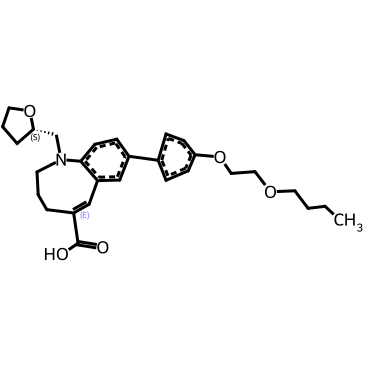 CCCCOCCOc1ccc(-c2ccc3c(c2)/C=C(/C(=O)O)CCCN3C[C@@H]2CCCO2)cc1